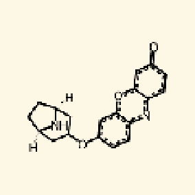 O=c1ccc2nc3ccc(OC4C[C@H]5CC[C@@H](C4)N5)cc3oc-2c1